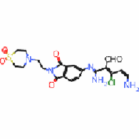 N\C=C/C(Cl)=C(C=O)/C(N)=N/c1ccc2c(c1)C(=O)N(CCN1CCS(=O)(=O)CC1)C2=O